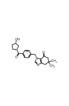 CC1(C)CC(=O)c2c(ncn2Cc2ccc(C(=O)N3CC[C@@H](O)C3)cc2)C1